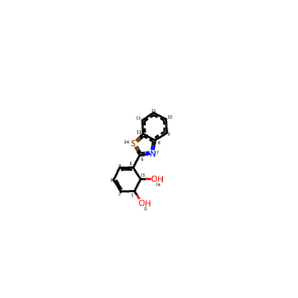 OC1C=CC=C(c2nc3ccccc3s2)C1O